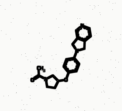 CC(=O)N1CCC(Oc2ccc(N3Cc4ccncc4C3)cc2)C1